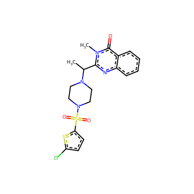 CC(c1nc2ccccc2c(=O)n1C)N1CCN(S(=O)(=O)c2ccc(Cl)s2)CC1